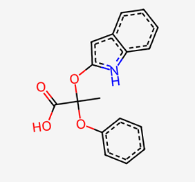 CC(Oc1ccccc1)(Oc1cc2ccccc2[nH]1)C(=O)O